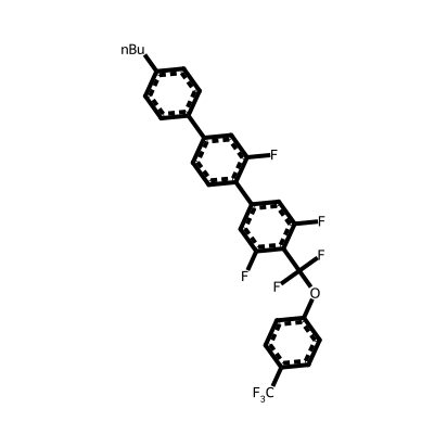 CCCCc1ccc(-c2ccc(-c3cc(F)c(C(F)(F)Oc4ccc(C(F)(F)F)cc4)c(F)c3)c(F)c2)cc1